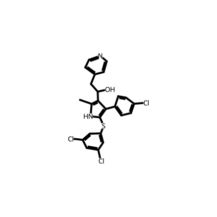 Cc1[nH]c(Sc2cc(Cl)cc(Cl)c2)c(-c2ccc(Cl)cc2)c1C(O)Cc1ccncc1